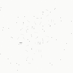 CC1(C)c2ccccc2-c2cc3c4ccccc4n(-c4c(C#N)c(-c5ccccc5)c(C#N)c(-n5c6ccccc6c6cc7c(cc65)C(C)(C)c5ccccc5-7)c4-c4ccccc4)c3cc21